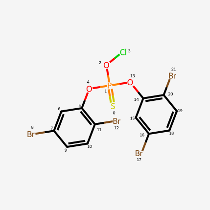 S=P(OCl)(Oc1cc(Br)ccc1Br)Oc1cc(Br)ccc1Br